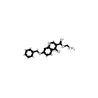 CCOC(=O)c1cnc2cc(OCc3ccccc3)ccc2c1Cl